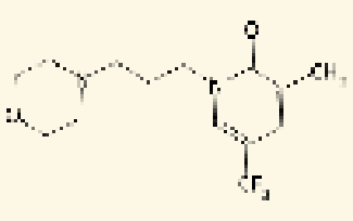 Cc1cc(C(F)(F)F)cn(CCCN2CCOCC2)c1=O